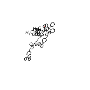 C[C@@H](O[Si](C)(C)C(C)(C)C)[C@@H]1C(=O)N(C(C(=O)OCc2ccc([N+](=O)[O-])cc2)=P(c2ccccc2)(c2ccccc2)c2ccccc2)[C@@H]1SC(=O)CCCCNC(=O)OCc1ccc([N+](=O)[O-])cc1